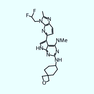 CNc1nc(NC2CCC3(CC2)COC3)nc2[nH]cc(-c3ccc4nc(C)n(CC(F)F)c4n3)c12